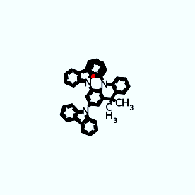 CC1(C)c2ccccc2N(c2ccccc2)c2c(-n3c4ccccc4c4ccccc43)cc(-n3c4ccccc4c4ccccc43)cc21